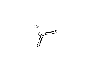 [Co].[O]=[Co]=[S]